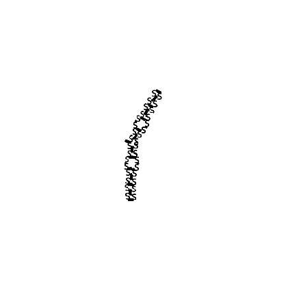 C=C1SC(=C2SC3=C(SCSC4=C(SCS3)SC(=C3SC5=C(SC(=C6SC=CS6)S5)S3)S4)S2)SSC(=C2SC3=C(SCSC4=C(SCS3)SC(=C3SC5=C(SC(=C6SC=CS6)S5)S3)S4)S2)S1